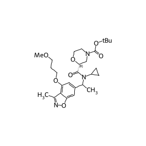 COCCCOc1cc(C(C)N(C(=O)[C@H]2CN(C(=O)OC(C)(C)C)CCO2)C2CC2)cc2onc(C)c12